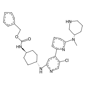 CN(c1cccc(-c2cc(N[C@H]3CC[C@H](NC(=O)OCc4ccccc4)CC3)ncc2Cl)n1)[C@H]1CCCNC1